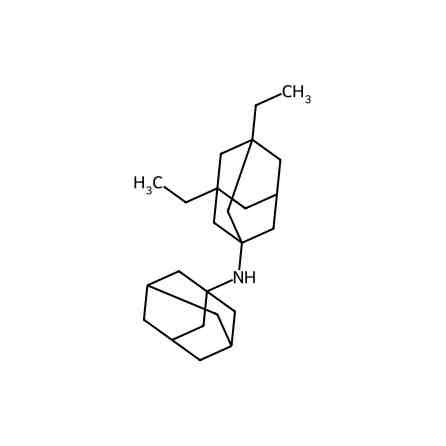 CCC12CC3CC(CC)(C1)CC(NC14CC5CC(CC(C5)C1)C4)(C3)C2